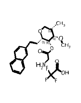 CO[C@@H]1[C@H](OC(=O)CN)[C@H](CCc2ccc3ccccc3c2)OC[C@@H]1C.O=C(O)C(F)(F)F